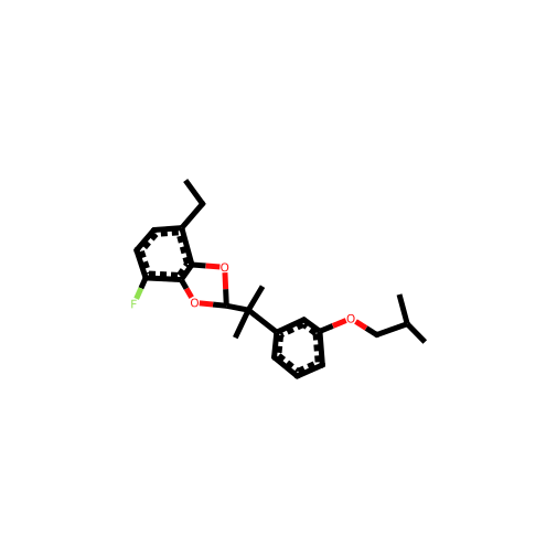 CCc1ccc(F)c2c1OC(C(C)(C)c1cccc(OCC(C)C)c1)O2